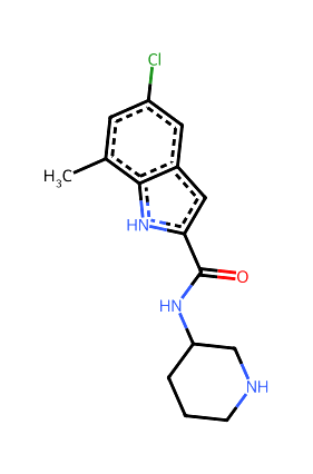 Cc1cc(Cl)cc2cc(C(=O)NC3CCCNC3)[nH]c12